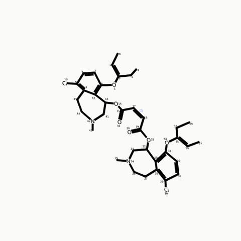 CC=C(CC)Oc1ccc(Cl)c2c1C(OC(=O)/C=C\C(=O)OC1CN(C)CCc3c(Cl)ccc(OC(=CC)CC)c31)CN(C)CC2